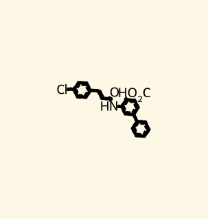 O=C(C=Cc1ccc(Cl)cc1)Nc1cc(-c2ccccc2)ccc1C(=O)O